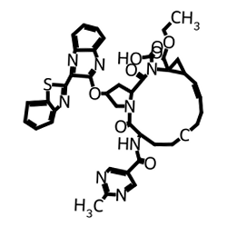 CCOC(=O)C12CC1/C=C\CCCCCC(NC(=O)c1cnc(C)nc1)C(=O)N1CC(Oc3nc4ccccc4nc3-c3nc4ccccc4s3)CC1C(=O)N2C(=O)O